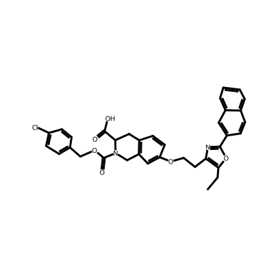 CCc1oc(-c2ccc3ccccc3c2)nc1CCOc1ccc2c(c1)CN(C(=O)OCc1ccc(Cl)cc1)C(C(=O)O)C2